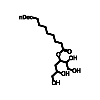 CCCCCCCCCCCCCCCCCC(=O)OC(CC(O)CO)C(O)CO